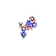 COc1ncnc(OC)c1-n1c(NS(=O)(=O)[C@@H]2C[C@@H](OC(C)C)CN(c3ncc(F)cn3)C2)nnc1[C@H]1CCCO1